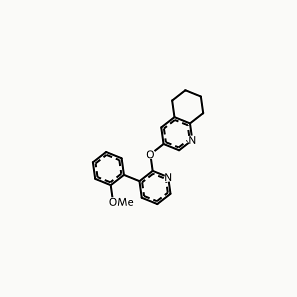 COc1ccccc1-c1cccnc1Oc1cnc2c(c1)CCCC2